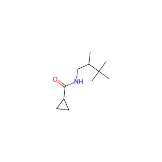 CC(CNC(=O)C1CC1)C(C)(C)C